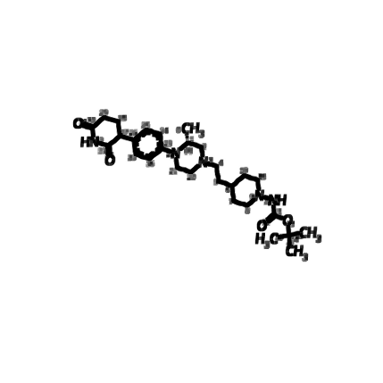 C[C@@H]1CN(CCC2CCN(NC(=O)OC(C)(C)C)CC2)CCN1c1ccc(C2CCC(=O)NC2=O)cc1